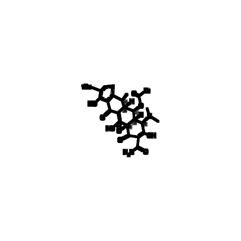 CCC(=O)O[C@@H]1[C@@H]2C(=C(O)[C@@]3(O)C(=O)C(C(N)=O)=C(O)[C@H](N(C)C)[C@@H]13)C(=O)c1c(ccc(C(C)(C)C)c1O)[C@H]2C